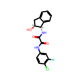 O=C(Nc1ccc(Cl)c(F)c1)C(=O)N[C@H]1c2ccccc2C[C@@H]1O